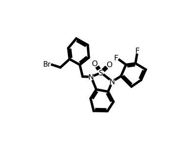 O=S1(=O)N(Cc2ccccc2CBr)c2ccccc2N1c1cccc(F)c1F